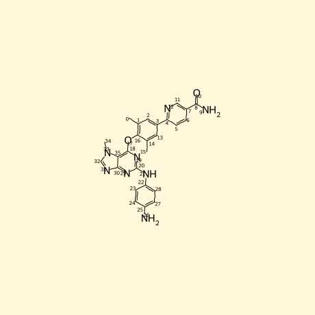 Cc1cc(-c2ccc(C(N)=O)cn2)cc(C)c1Oc1nc(Nc2ccc(N)cc2)nc2ncn(C)c12